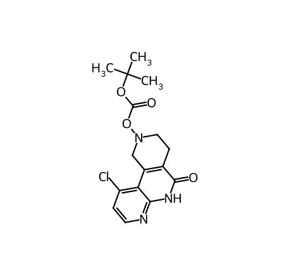 CC(C)(C)OC(=O)ON1CCc2c(c3c(Cl)ccnc3[nH]c2=O)C1